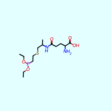 CCOP(CCSCC(C)NC(=O)CCC(N)C(=O)O)OCC